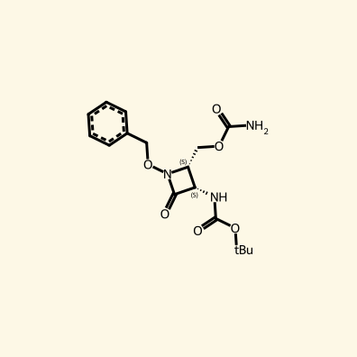 CC(C)(C)OC(=O)N[C@@H]1C(=O)N(OCc2ccccc2)[C@@H]1COC(N)=O